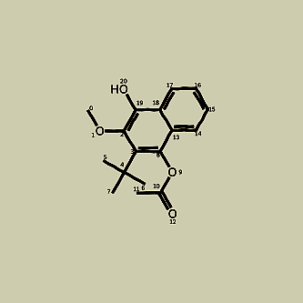 COc1c(C(C)(C)C)c(OC(C)=O)c2ccccc2c1O